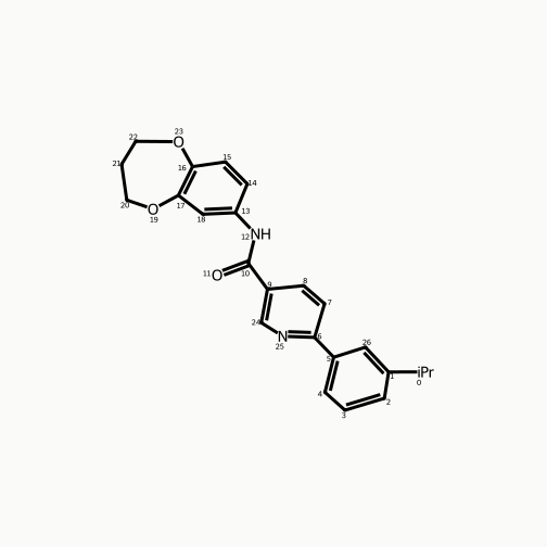 CC(C)c1cccc(-c2ccc(C(=O)Nc3ccc4c(c3)OCCCO4)cn2)c1